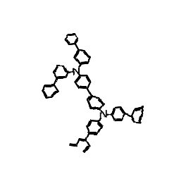 C=C/C=C(\C=C)c1ccc(N(c2ccc(-c3ccccc3)cc2)c2ccc(-c3ccc(N(c4cccc(-c5ccccc5)c4)c4cccc(-c5ccccc5)c4)cc3)cc2)cc1